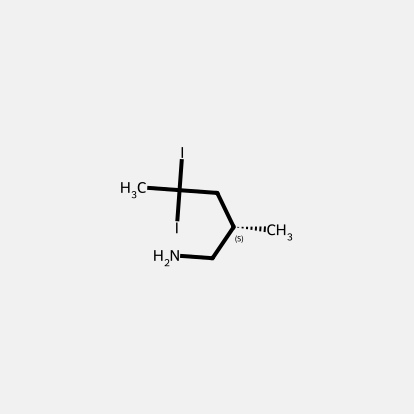 C[C@H](CN)CC(C)(I)I